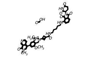 COc1cc(-c2cn(C)c(=O)c3cnccc23)cc(OC)c1CN(C)C12CC(C(=O)NCCCCCNc3cccc4c3C(=O)N(C3CCC(=O)NC3=O)C4=O)(C1)C2.O=CO